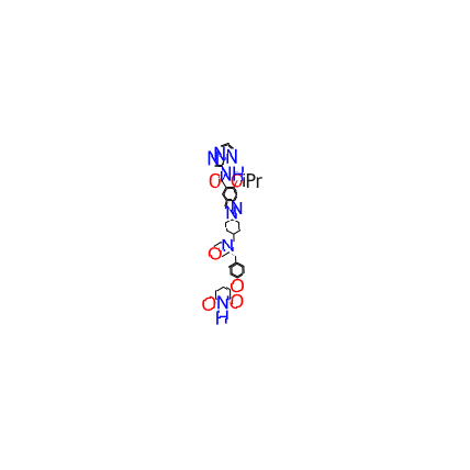 CC(C)Oc1cc2nn(C3CCC(CN4CCOC[C@H]4Cc4ccc(OC5CCC(=O)NC5=O)cc4)CC3)cc2cc1C(=O)Nc1cnn2cccnc12